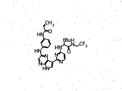 C=CC(=O)Nc1cccc(Nc2cnc3[nH]cc(-c4nccc(NC(C(=O)NCC(F)(F)F)C(C)(C)C)n4)c3n2)c1